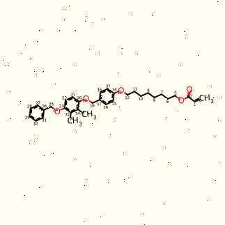 C=CC(=O)OCCCCCCCCOc1ccc(COc2ccc(OCc3ccccc3)c(C)c2C)cc1